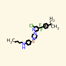 C=CCCCNc1ccc(SN2CCN(c3cc(C(F)(F)C45CCC(C(=C)C)(CC4)CC5)cc(Cl)n3)CC2)cc1